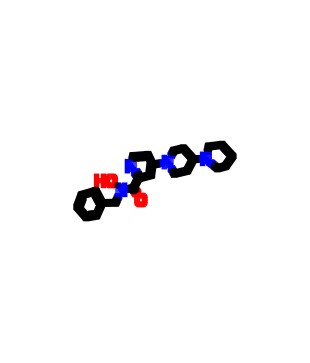 O=C(c1cc(N2CCC(N3CCCCC3)CC2)ccn1)N(O)Cc1ccccc1